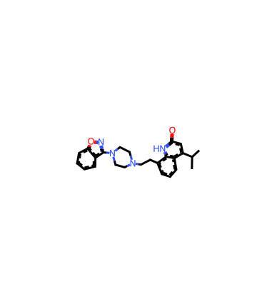 CC(C)c1cc(=O)[nH]c2c(CCN3CCN(c4noc5ccccc45)CC3)cccc12